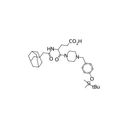 CC(C)(C)[Si](C)(C)Oc1ccc(CN2CCN(C(=O)C(CCC(=O)O)NC(=O)CC34CC5CC(CC(C5)C3)C4)CC2)cc1